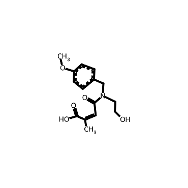 COc1ccc(CN(CCO)C(=O)C=C(C)C(=O)O)cc1